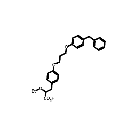 CCOC(Cc1ccc(OCCCOc2ccc(Cc3ccccc3)cc2)cc1)C(=O)O